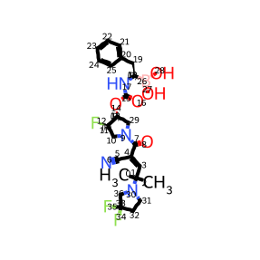 CC(C)(C=C(C#N)C(=O)N1C[C@@H](F)[C@H](OC(=O)N[C@@H](Cc2ccccc2)B(O)O)C1)N1CCC(F)(F)C1